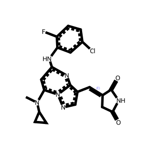 CN(c1cc(Nc2cc(Cl)ccc2F)nc2c(/C=C3\CC(=O)NC3=O)cnn12)C1CC1